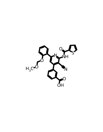 COCOc1ccccc1-c1cc(-c2cccc(C(=O)O)c2)c(C#N)c(NC(=O)c2cccs2)n1